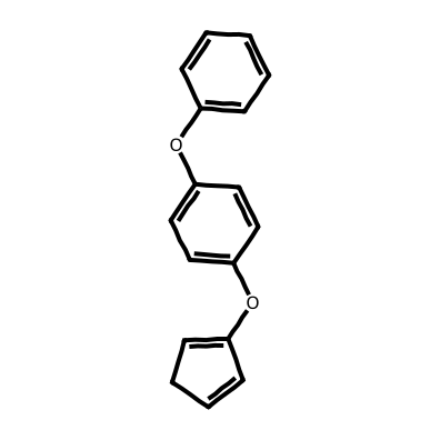 C1=CC(Oc2ccc(Oc3ccccc3)cc2)=CC1